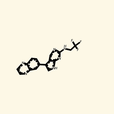 FC(F)(F)CNc1ncc2c(-c3ccc4nccnc4c3)c[nH]c2n1